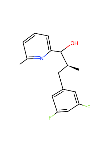 Cc1cccc(C(O)[C@@H](C)Cc2cc(F)cc(F)c2)n1